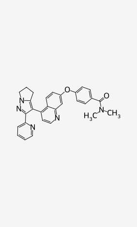 CN(C)C(=O)c1ccc(Oc2ccc3c(-c4c(-c5ccccn5)nn5c4CCC5)ccnc3c2)cc1